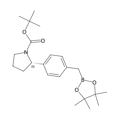 CC(C)(C)OC(=O)N1CCC[C@H]1c1ccc(CB2OC(C)(C)C(C)(C)O2)cc1